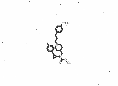 CC(C)(C)OC(=O)N(CC1CCN(CCCc2ccc(C(=O)O)cc2)CC1)C1CC1c1ccc(I)cc1